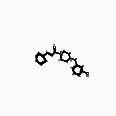 O=C(C=Cc1ccccc1)N1CCN(Cc2cccc(Cl)c2)CC1